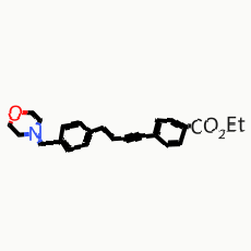 CCOC(=O)c1ccc(C#C/C=C/c2ccc(CN3CCOCC3)cc2)cc1